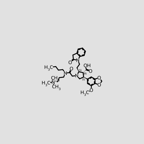 CCCCN(CCC[N+](C)(C)C)C(=O)CN1C[C@H](c2cc(OC)c3c(c2)OCO3)[C@@H](C(=O)O)[C@@H]1CCN1C(=O)Cc2ccccc21